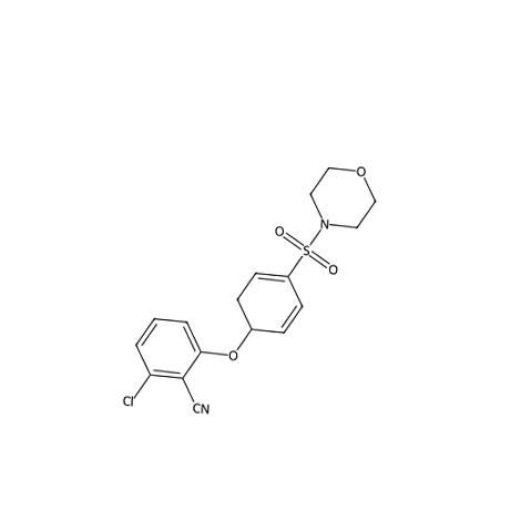 N#Cc1c(Cl)cccc1OC1C=CC(S(=O)(=O)N2CCOCC2)=CC1